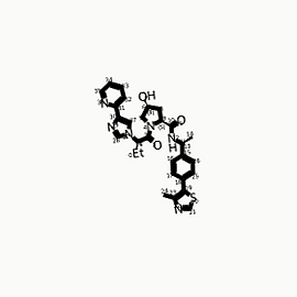 CC[C@@H](C(=O)N1C[C@H](O)C[C@H]1C(=O)N[C@@H](C)c1ccc(-c2scnc2C)cc1)n1cnc(-c2ccccn2)c1